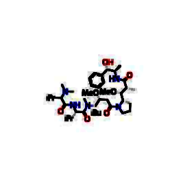 CC[C@H](C)[C@@H]([C@@H](CC(=O)N1CCC[C@H]1[C@H](OC)[C@@H](C)C(=O)N[C@H](C)[C@@H](O)c1ccccc1)OC)N(C)C(=O)[C@@H](NC(=O)C(C(C)C)N(C)C)C(C)C